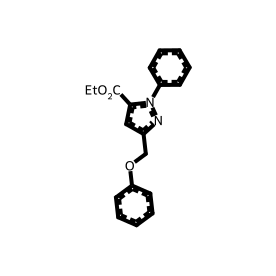 CCOC(=O)c1cc(COc2ccccc2)nn1-c1ccccc1